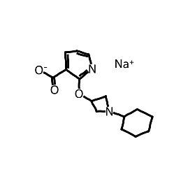 O=C([O-])c1cccnc1OC1CN(C2CCCCC2)C1.[Na+]